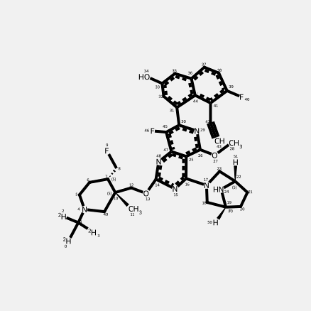 [2H]C([2H])([2H])N1CC[C@H](CF)[C@](C)(COc2nc(N3C[C@H]4CC[C@@H](C3)N4)c3c(OC)nc(-c4cc(O)cc5ccc(F)c(C#C)c45)c(F)c3n2)C1